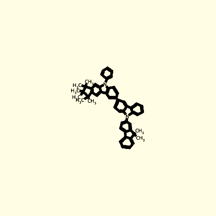 CC1(C)c2ccccc2-c2ccc(-n3c4ccccc4c4cc(-c5ccc6c(c5)c5cc7c(cc5n6-c5ccccc5)C(C)(C)C(C)(C)C7(C)C)ccc43)cc21